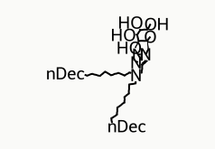 CCCCCCCCCCCCCCCCCCN(CCCCCCCCCCCCCCCCCC)Cc1cn(C[C@@H]2OC(O)[C@@H](O)[C@H](O)[C@@H]2O)nn1